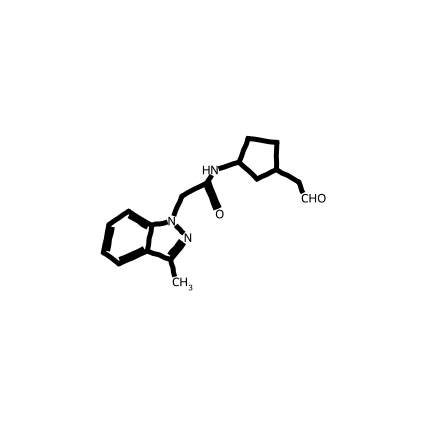 Cc1nn(CC(=O)NC2CCC(CC=O)C2)c2ccccc12